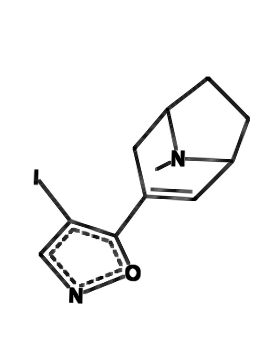 CN1C2C=C(c3oncc3I)CC1CC2